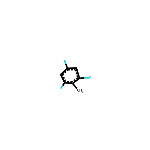 [CH2]c1c(F)cc(F)cc1F